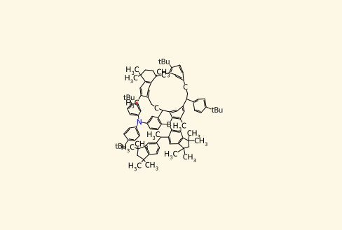 Cc1cc2c3cc1CCC1c4cc(N(c5ccc(C(C)(C)C)cc5)c5ccc(C(C)(C)C)cc5)ccc4B(c4cc5c(cc4C(C)c4ccc6c(c4)C(C)(C)CC6(C)C)C(C)(C)CC5(C)C)c4c(C)cc(cc41)C(c1ccc(C(C)(C)C)cc1)CCc1ccc(C(C)(C)C)c(c1)CC3(C)CCC2(C)C